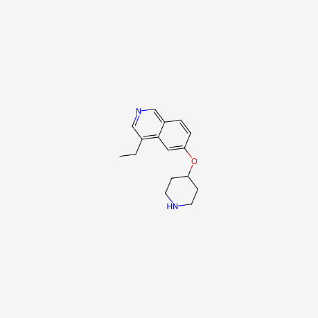 CCc1cncc2ccc(OC3CCNCC3)cc12